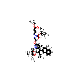 CCOC(=O)/C=C/CN(CCOc1ccc(/C(C2=Cc3ccccc3[C@@H](C)C2C)=C(/CC)B2OC(C)(C)C(C)(C)O2)cn1)C(=O)OC(C)(C)C